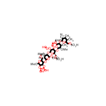 COC1[C@H](O[C@H]2C(OOO)C(OOO)[C@@H](O[C@H]3C(OC)C(C)[C@H](O[C@@H]4C(COS(=O)(=O)O)O[C@H](OC)C(OOO)[C@H]4OOO)O[C@H]3OC=O)O[C@H]2COS(=O)(=O)O)OC(OC=O)[C@@H](O[C@H]2OC(COS(=O)(=O)O)[C@@H](C)[C@H](C)C2C)[C@@H]1C